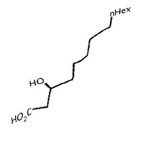 CCCCCCCCCCCC(O)CC(=O)O